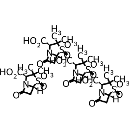 CC1(C)[C@H](C(=O)O)N2C(=O)C[C@H]2S1(=O)=O.CC1(C)[C@H](C(=O)O)N2C(=O)C[C@H]2S1(=O)=O.CC1(C)[C@H](C(=O)O)N2C(=O)C[C@H]2S1(=O)=O.CC1(C)[C@H](C(=O)O)N2C(=O)C[C@H]2S1(=O)=O